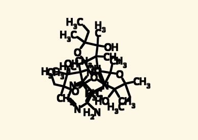 CCC1(C)OC(C)(OC2(C)C(C)(OC3(C)C(C)(n4cnc5c(N)ncnc54)OC(C)(CC)C3(C)O)OC(C)(CC)C2(C)O)C(C)(O)C1(C)O